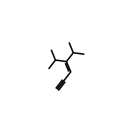 C#CC=C(C(C)C)C(C)C